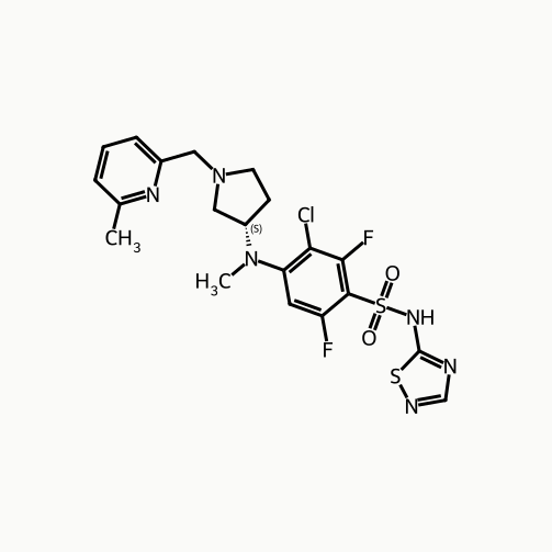 Cc1cccc(CN2CC[C@H](N(C)c3cc(F)c(S(=O)(=O)Nc4ncns4)c(F)c3Cl)C2)n1